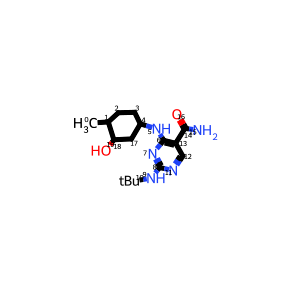 CC1CCC(Nc2nc(NC(C)(C)C)ncc2C(N)=O)CC1O